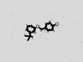 CC(C)(C)c1cccc(OCc2ccc(Cl)cc2)c1